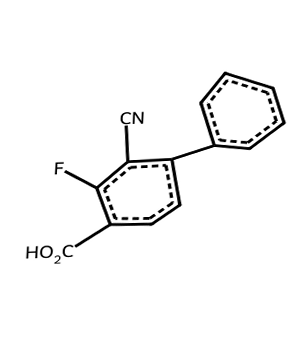 N#Cc1c(-c2ccccc2)ccc(C(=O)O)c1F